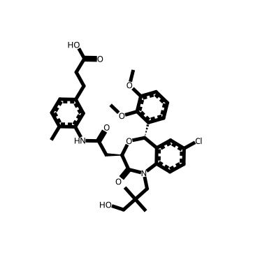 COc1cccc([C@H]2O[C@H](CC(=O)Nc3cc(CCC(=O)O)ccc3C)C(=O)N(CC(C)(C)CO)c3ccc(Cl)cc32)c1OC